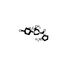 CC1(C)CN(C(=O)[C@@H]2CCC[C@@H]2N)CCN1c1ccc(Cl)cc1